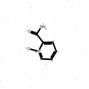 NC(=O)c1cccc[n+]1[O-]